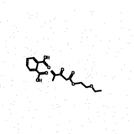 C=C(C)C(=O)CC(=O)OCCOCC.O=C(O)c1ccccc1C(=O)O